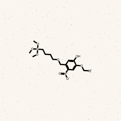 CO[Si](CCCCOCc1cc(O)c(O[CH2][Rf])cc1[N+](=O)[O-])(OC)OC